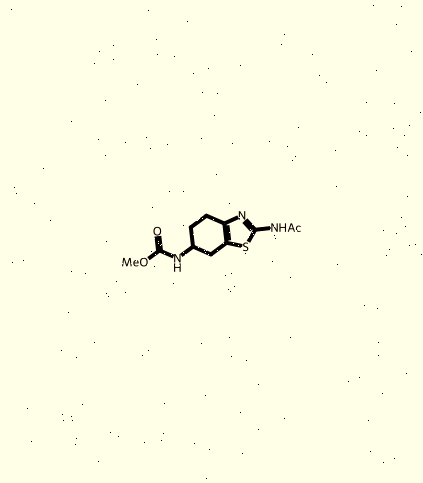 COC(=O)NC1CCc2nc(NC(C)=O)sc2C1